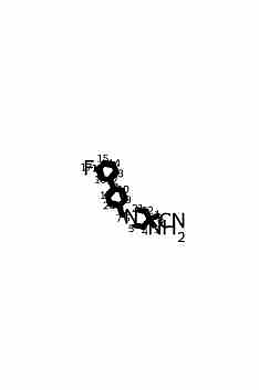 N#CCC1(N)CCN(Cc2ccc(-c3cccc(F)c3)cc2)CC1